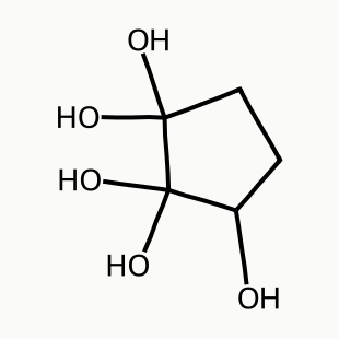 OC1CCC(O)(O)C1(O)O